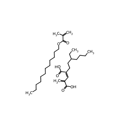 C=C(C)C(=O)OCCCCCCCCCCCC.C=C(C=C(CCC(CC)CCCC)C(=O)O)C(=O)O